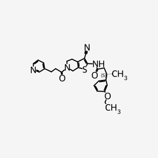 CCOc1cccc([C@@H](C)CC(=O)Nc2sc3c(c2C#N)CCN(C(=O)CCc2cccnc2)C3)c1